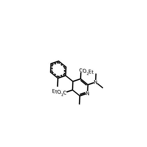 CCOC(=O)C1=C(N(C)C)N=C(C)C(C(=O)OCC)C1c1ccccc1C